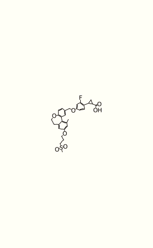 Cc1cc(OCCCS(C)(=O)=O)cc2c1-c1cc(COc3ccc(C4CC4C(=O)O)c(F)c3)ccc1OCC2